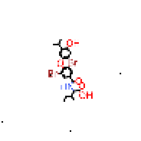 CCC(C)[C@H](NC(=O)c1cc(Br)c(Oc2ccc(O)c(C(C)C)c2)c(Br)c1)C(=O)O